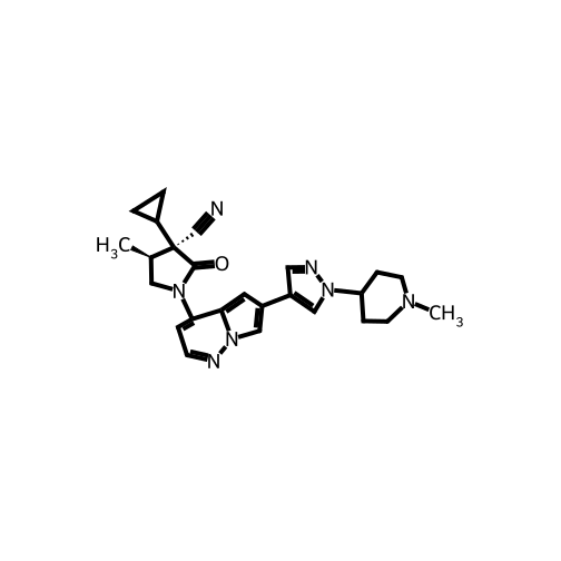 C[C@@H]1CN(c2ccnn3cc(-c4cnn(C5CCN(C)CC5)c4)cc23)C(=O)[C@]1(C#N)C1CC1